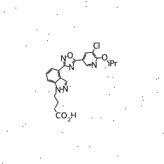 CC(C)Oc1ncc(-c2nc(-c3cccc4c3cnn4CCCC(=O)O)no2)cc1Cl